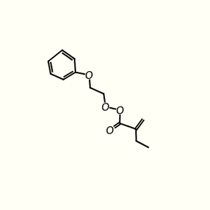 C=C(CC)C(=O)OOCCOc1ccccc1